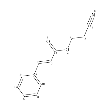 N#CCCOC(=O)/C=C/c1ccccc1